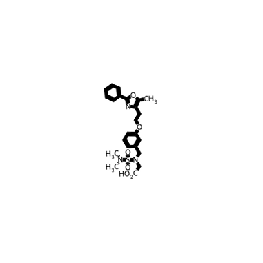 Cc1oc(-c2ccccc2)nc1CCOc1cccc(CN(CC(=O)O)S(=O)(=O)N(C)C)c1